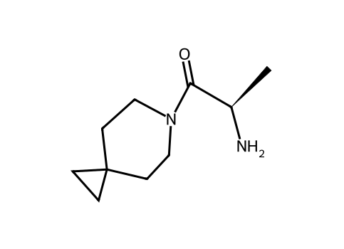 C[C@@H](N)C(=O)N1CCC2(CC1)CC2